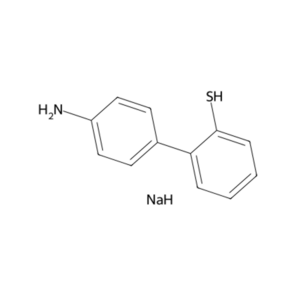 Nc1ccc(-c2ccccc2S)cc1.[NaH]